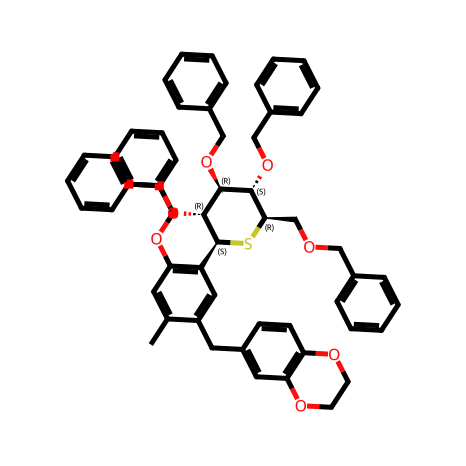 Cc1cc(OCc2ccccc2)c([C@@H]2S[C@H](COCc3ccccc3)[C@@H](OCc3ccccc3)[C@H](OCc3ccccc3)[C@H]2OCc2ccccc2)cc1Cc1ccc2c(c1)OCCO2